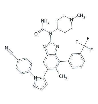 Cc1c(-c2ccnn2-c2ccc(C#N)cc2)cn2nc(N(C(N)=O)C3CCN(C)CC3)nc2c1-c1cccc(C(F)(F)F)c1